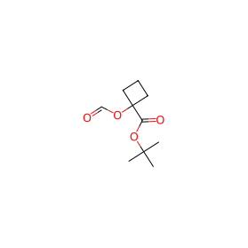 CC(C)(C)OC(=O)C1(OC=O)CCC1